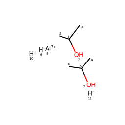 CC(C)O.CC(C)O.[Al+3].[H-].[H-].[H-]